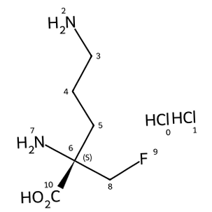 Cl.Cl.NCCC[C@@](N)(CF)C(=O)O